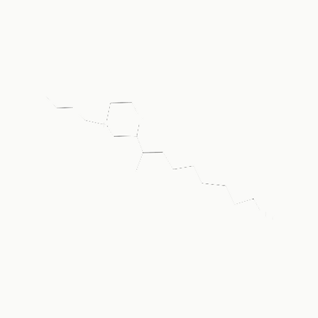 CCCCCCCCC(C)C1CN(CCCO)CCO1